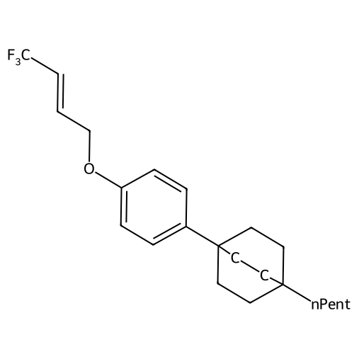 CCCCCC12CCC(c3ccc(OCC=CC(F)(F)F)cc3)(CC1)CC2